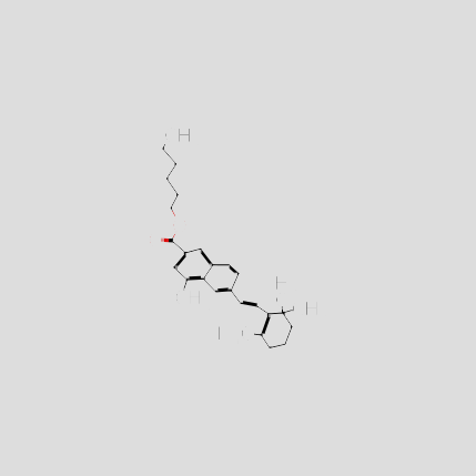 CCCCCCOC(=O)c1cc(C)c2cc(/C=C/C3=C(C)CCCC3(C)C)ccc2c1